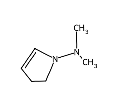 CN(C)N1C=CCC1